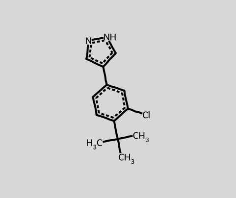 CC(C)(C)c1ccc(-c2cn[nH]c2)cc1Cl